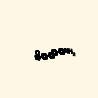 Nc1ccc(-c2ccc3cc(-c4ccc(C5=CC=CC5=O)cc4)ccc3c2)cc1